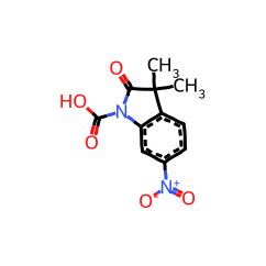 CC1(C)C(=O)N(C(=O)O)c2cc([N+](=O)[O-])ccc21